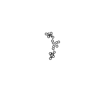 c1ccc(N(c2cccc(-c3ccc4cc5c(cc4c3)C3(c4cc6cc(-c7cccc(N(c8ccccc8)c8cccc9c8sc8ccccc89)c7)ccc6cc4-5)c4ccccc4-c4c3ccc3ccccc43)c2)c2cccc3c2sc2ccccc23)cc1